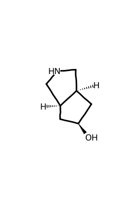 O[C@H]1C[C@H]2CNC[C@H]2C1